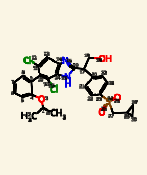 CC(C)Oc1ccccc1-c1c(Cl)cc2nc(C(CO)c3ccc(S(=O)(=O)CC4CC4)cc3)[nH]c2c1Cl